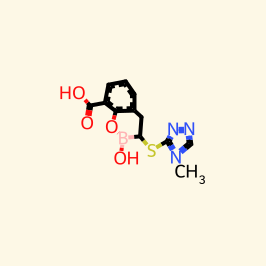 Cn1cnnc1SC1Cc2cccc(C(=O)O)c2OB1O